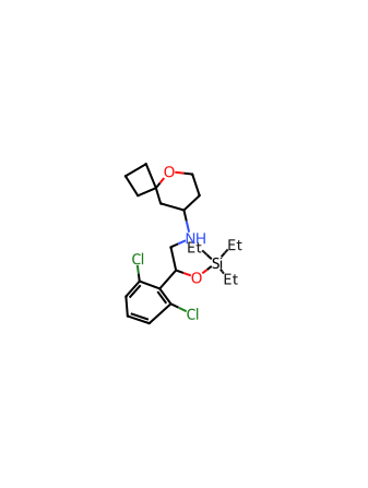 CC[Si](CC)(CC)OC(CNC1CCOC2(CCC2)C1)c1c(Cl)cccc1Cl